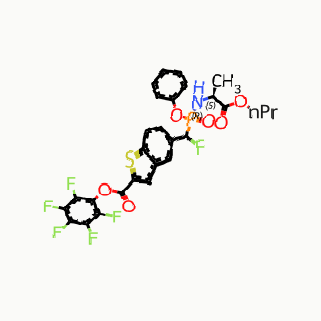 CCCOC(=O)[C@H](C)N[P@](=O)(Oc1ccccc1)C(F)c1ccc2sc(C(=O)Oc3c(F)c(F)c(F)c(F)c3F)cc2c1